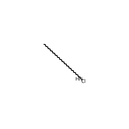 CCCCCCCCCCCCCCCCCCCCCCCCCCCCCCCCNCCl